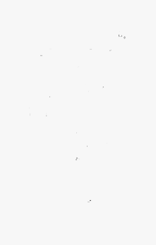 CCCCCCCCCCCCNC(=O)c1cc(Br)c(OCC(=O)O)c(-c2ccc(OC)cc2)c1